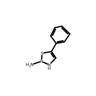 NN1NC=C(c2ccccc2)S1